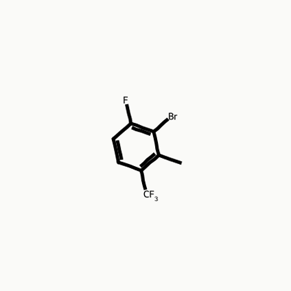 Cc1c(C(F)(F)F)ccc(F)c1Br